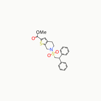 COC(=O)c1cc2c(s1)CN(S(=O)(=O)CC(c1ccccc1)c1ccccc1)CC2